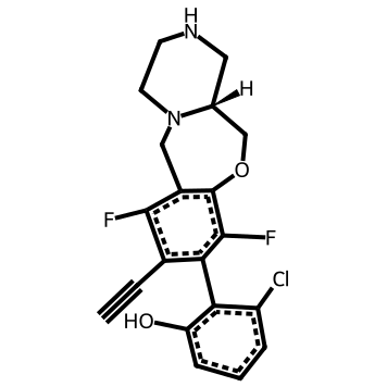 C#Cc1c(F)c2c(c(F)c1-c1c(O)cccc1Cl)OC[C@H]1CNCCN1C2